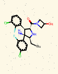 CC(C)(C)C[C@@H]1N[C@@H](C(=O)N2CC(O)C2)[C@H](c2cccc(Cl)c2F)[C@@]1(N)c1ccc(Cl)cc1F